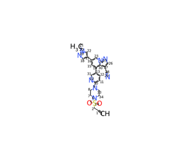 C#CCS(=O)(=O)N1CCN(c2ccc(-c3cc(-c4cnn(C)c4)cn4ncc(C#N)c34)cn2)CC1